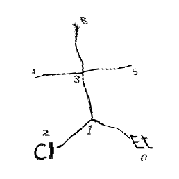 CCC(Cl)C(C)(C)C